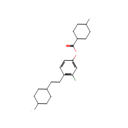 CCCCCC1CCC(C(=O)Oc2ccc(CCC3CCC(CCC)CC3)c(F)c2)CC1